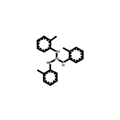 Cc1ccccc1[PH][Pd]([PH]c1ccccc1C)[PH]c1ccccc1C